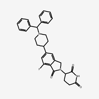 O=C1CCC(N2Cc3cc(C4CCN(C(c5ccccc5)c5ccccc5)CC4)cc(F)c3C2=O)C(=O)N1